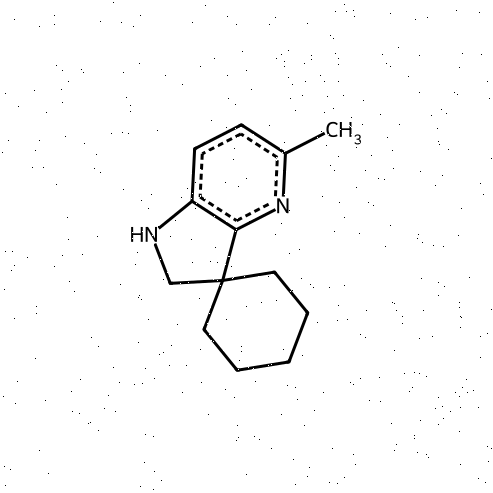 Cc1ccc2c(n1)C1(CCCCC1)CN2